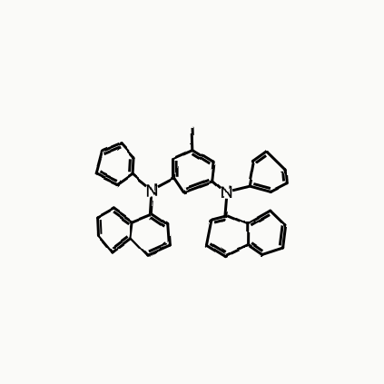 Cc1cc(N(c2ccccc2)c2cccc3ccccc23)cc(N(c2ccccc2)c2cccc3ccccc23)c1